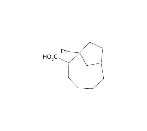 CCC12CCC(CCCCC1C(=O)O)C2